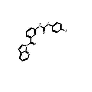 O=C(Nc1ccc(Cl)cc1)Nc1cccc(C(=O)n2ccc3cccnc32)c1